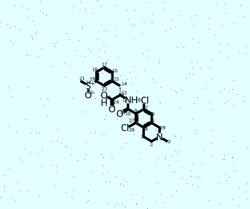 CN1CCc2c(cc(Cl)c(C(=O)N[C@@H](Cc3cccc([S+](C)[O-])c3)C(=O)O)c2Cl)C1